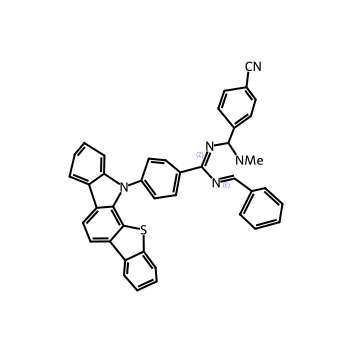 CNC(/N=C(\N=C\c1ccccc1)c1ccc(-n2c3ccccc3c3ccc4c5ccccc5sc4c32)cc1)c1ccc(C#N)cc1